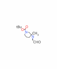 CC1(N=CC=O)CCCN(C(=O)OC(C)(C)C)C1